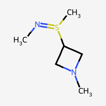 C/N=S(/C)C1CN(C)C1